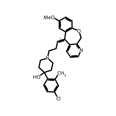 COc1ccc2c(c1)/C(=C/CCN1CCC(O)(c3ccc(Cl)cc3C)CC1)c1cccnc1CO2